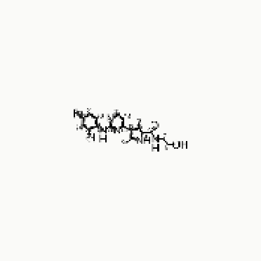 Cc1[nH]c(C(=O)NCCO)c(C)c1-c1ccnc(Nc2ccc(F)cc2Cl)n1